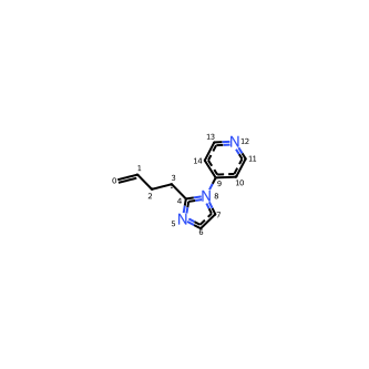 C=CC[CH]c1nccn1-c1ccncc1